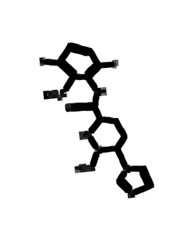 CCCCCCN1NC(C(=O)Nc2c(F)ccc(F)c2C(=O)OCC)CCC1n1ccnc1